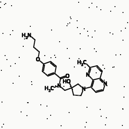 Cc1ccc2nccc(N3CCC(O)(CN(C)C(=O)c4ccc(OCCCN)cc4)C3)c2n1